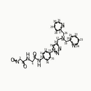 O=NCC(=O)NCC(=O)Nc1ccc(-n2cc(CN(Cc3ccccn3)Cc3ccccn3)nn2)cc1